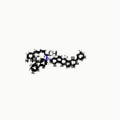 C\C(=C/C=C\C=C\c1ccccc1)N(c1ccc2c(c1)Cc1cc3c(cc1-2)Cc1ccc(C2C=CCCC2)cc1-3)c1ccc2c(c1)C(C)(C)c1ccccc1-2